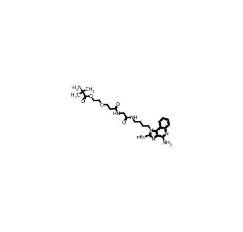 CCCCc1nc2c(N)nc3ccccc3c2n1CCCCNC(=O)CNC(=O)CCOCCOC(=O)C(C)(C)N